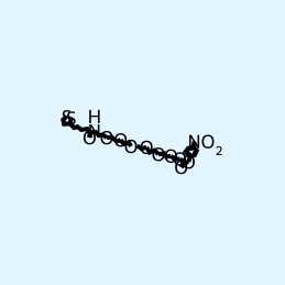 O=C(CCCCC1CCSS1)NCCOCCOCCOCCOCCOCCOCOC(=O)Oc1ccc([N+](=O)[O-])cc1